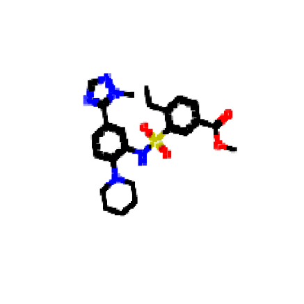 CCc1ccc(C(=O)OC)cc1S(=O)(=O)Nc1cc(-c2ncnn2C)ccc1N1CCCCC1